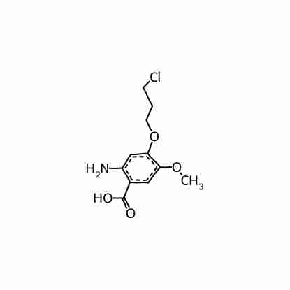 COc1cc(C(=O)O)c(N)cc1OCCCCl